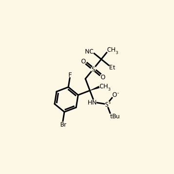 CCC(C)(C#N)S(=O)(=O)C[C@](C)(N[S+]([O-])C(C)(C)C)c1cc(Br)ccc1F